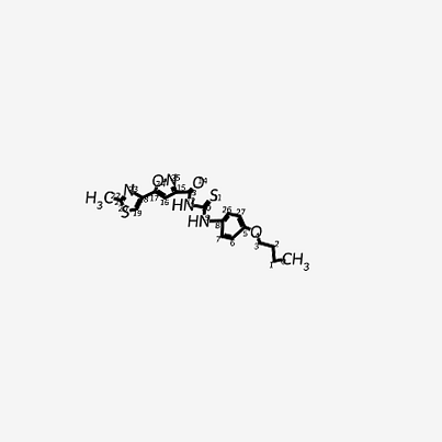 CCCCOc1ccc(NC(=S)NC(=O)c2cc(-c3csc(C)n3)on2)cc1